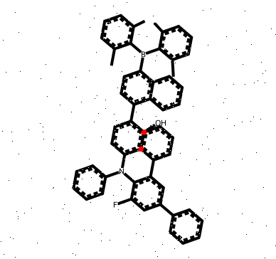 Cc1cccc(C)c1B(c1c(C)cccc1C)c1ccc(-c2ccc(N(c3ccccc3)c3c(F)cc(-c4ccccc4)cc3-c3ccccc3)cc2O)c2ccccc12